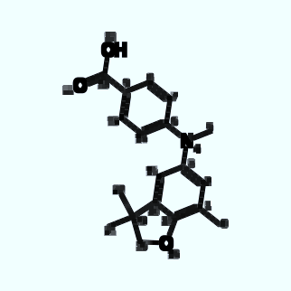 Cc1cc(N(C)c2ccc(C(=O)O)cc2)cc2c1OCC2(C)C